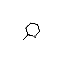 CC1CCCCS1